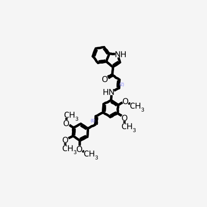 COc1cc(/C=C/c2cc(OC)c(OC)c(OC)c2)cc(N/C=C\C(=O)c2c[nH]c3ccccc23)c1OC